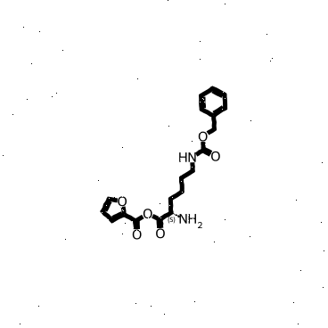 N[C@@H](CCCCNC(=O)OCc1ccccc1)C(=O)OC(=O)c1ccco1